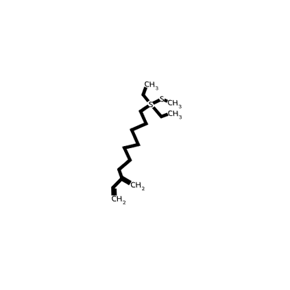 C=CC(=C)CCCCCCCS(CC)(CC)SC